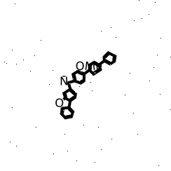 C=NC(c1ccc(-c2ccc(-c3ccccc3)cc2)c(OC)c1)c1ccc2c(c1)oc1ccccc12